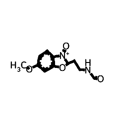 COc1ccc2c(c1)OC(CCNC=O)[N+]2=O